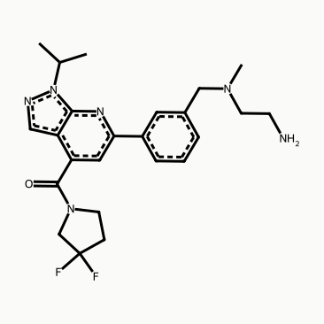 CC(C)n1ncc2c(C(=O)N3CCC(F)(F)C3)cc(-c3cccc(CN(C)CCN)c3)nc21